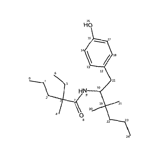 CCCC(C)(CC)C(=O)NC(Cc1ccc(O)cc1)C(C)(C)CCC